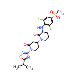 CC(C)c1nc(N2CCC(N3CCCC(Nc4c(F)cc(S(C)(=O)=O)cc4F)C3=O)CC2=O)no1